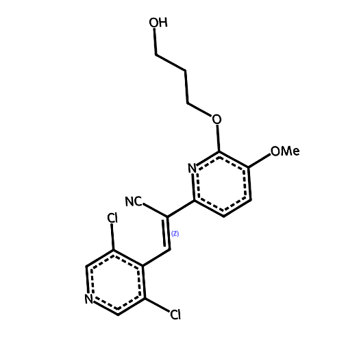 COc1ccc(/C(C#N)=C/c2c(Cl)cncc2Cl)nc1OCCCO